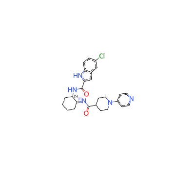 O=C(N[C@H]1CCCC/C1=N\C(=O)C1CCN(c2ccncc2)CC1)c1cc2cc(Cl)ccc2[nH]1